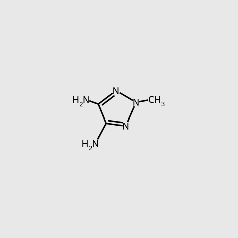 Cn1nc(N)c(N)n1